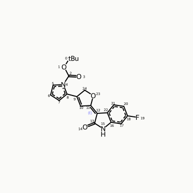 CC(C)(C)OC(=O)n1cccc1C1=C/C(=C2\C(=O)Nc3cc(F)ccc32)OC1